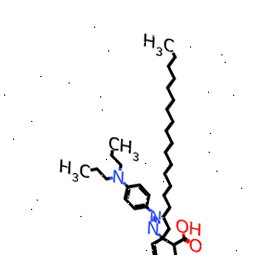 CCCCCCCCCCCCCCCCCCC1(/N=N/c2ccc(N(CCC)CCC)cc2)C=CC=CC1C(=O)O